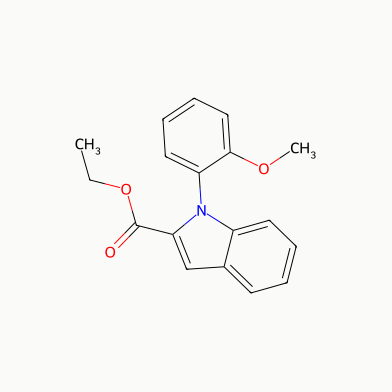 CCOC(=O)c1cc2ccccc2n1-c1ccccc1OC